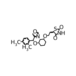 Cc1ccc(C(O[C@@H]2CCC[C@H](OCC=C3SC(=O)NC3=O)C2)c2cocn2)c(C)c1